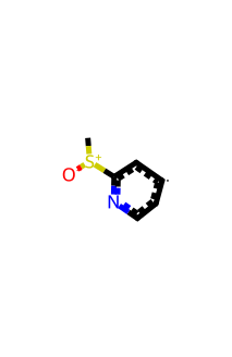 C[S+]([O-])c1c[c]ccn1